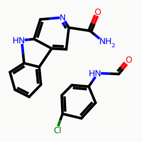 NC(=O)c1cc2c(cn1)[nH]c1ccccc12.O=CNc1ccc(Cl)cc1